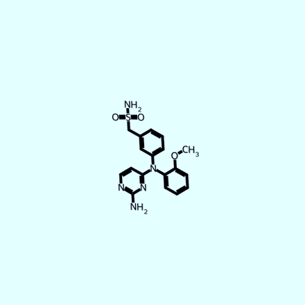 COc1ccccc1N(c1cccc(CS(N)(=O)=O)c1)c1ccnc(N)n1